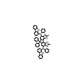 Cc1nc2c(N(c3ccccc3)c3cccc4c3oc3ccccc34)cc3c(c2o1)-c1c(cc(N(c2ccccc2)c2cccc4c2oc2ccccc24)c2nc(C)oc12)C3(c1ccccc1)c1ccccc1